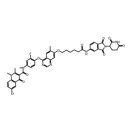 CCc1ccc2c(c1)c(=O)c(C(=O)Nc1ccc(Oc3ncnc4cc(OCCCCCC(=O)Nc5ccc6c(c5)C(=O)N(C5CCC(=O)NC5=O)C6=O)c(C)cc34)c(F)c1)c(C)n2C